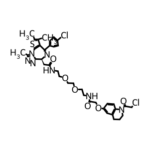 Cc1sc2c(c1C)C(c1ccc(Cl)cc1)=N[C@@H](CC(=O)NCCOCCOCCNC(=O)COc1ccc3c(c1)CCCN3C(=O)CCl)c1nnc(C)n1-2